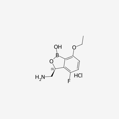 CCOc1ccc(F)c2c1B(O)O[C@@H]2CN.Cl